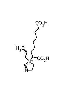 C=CC[N+]1(C(CCCCCCC(=O)O)C(=O)O)C=NCC1